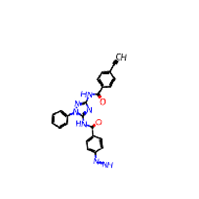 C#Cc1ccc(C(=O)Nc2nc(NC(=O)c3ccc(N=N)cc3)n(-c3ccccc3)n2)cc1